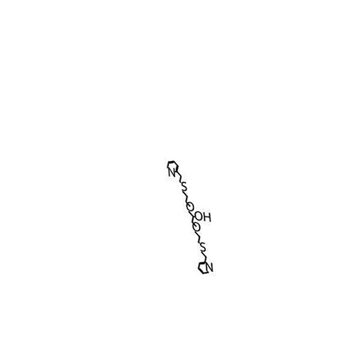 OC(COCCCSCCc1ccccn1)COCCCSCCc1ccccn1